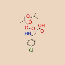 CC(C)C(=O)OC(OC(=O)NC(CCC(=O)O)c1ccc(Cl)cc1)C(C)C